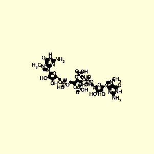 C[n+]1cn([C@@H]2O[C@H](COP(=O)(O)OCC(OP(=O)(O)O)C(COP(=O)(O)OC[C@H]3O[C@@H](n4c[n+](C)c5c(=O)[nH]c(N)nc54)[C@H](O)[C@@H]3O)OP(=O)(O)O)[C@@H](O)[C@H]2O)c2nc(N)[nH]c(=O)c21